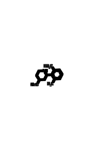 COC1CCNC(c2c(C)cccc2C(=O)O)C1